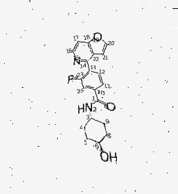 O=C(N[C@H]1CC[C@H](O)CC1)c1ccc(-c2nccc3occc23)c(F)c1